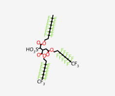 CC(F)(F)C(F)(F)C(F)(F)C(F)(F)C(F)(F)C(F)(F)CCOC(=O)C(C(CC(=O)OCCC(F)(F)C(F)(F)C(F)(F)C(F)(F)C(F)(F)C(F)(F)F)C(=O)OCCC(F)(F)C(F)(F)C(F)(F)C(F)(F)C(F)(F)C(F)(F)F)S(=O)(=O)O